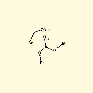 CC(=O)CC(=O)O.CC[O][In]([CH3])[O]CC